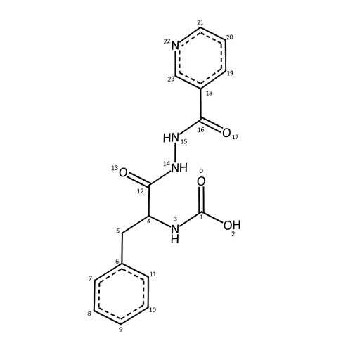 O=C(O)NC(Cc1ccccc1)C(=O)NNC(=O)c1cccnc1